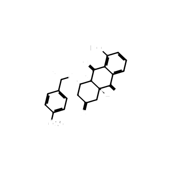 COc1ccc([C@H](C)O[C@H]2CC(=O)C[C@H]3C(=O)c4cccc(O)c4C(=O)[C@H]23)cc1